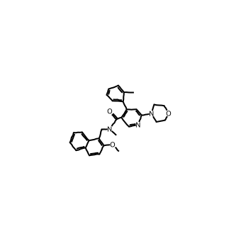 COc1ccc2ccccc2c1CN(C)C(=O)c1cnc(N2CCOCC2)cc1-c1ccccc1C